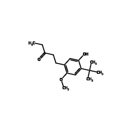 CCC(=O)CCc1cc(O)c(C(C)(C)C)cc1OC